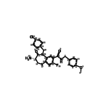 COc1ccc(CNC(=O)c2cc3c(cc2F)SC[C@H](N)C(=O)N3Cc2ccc(Cl)cc2)cc1